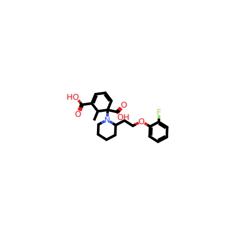 CC1C(C(=O)O)=CC=CC1(C(=O)O)N1CCCCC1CCOc1ccccc1F